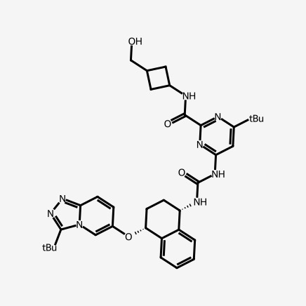 CC(C)(C)c1cc(NC(=O)N[C@H]2CC[C@@H](Oc3ccc4nnc(C(C)(C)C)n4c3)c3ccccc32)nc(C(=O)NC2CC(CO)C2)n1